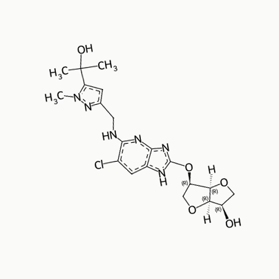 Cn1nc(CNc2nc3nc(O[C@@H]4CO[C@H]5[C@@H]4OC[C@H]5O)[nH]c3cc2Cl)cc1C(C)(C)O